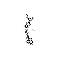 CCC[n+]1cc(Br)cc(C(=O)Nc2ccc(CCOCCOC(=O)Nc3cccc4ccccc34)cc2)c1.[Cl-]